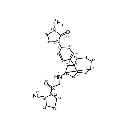 CN1CCN(c2ccc(C34CCCC5CC3CC5(NCC(=O)N3CCC[C@H]3C#N)C4)cc2)C1=O